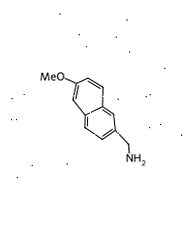 COc1ccc2cc(CN)ccc2c1